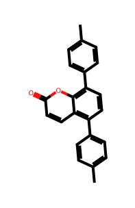 Cc1ccc(-c2ccc(-c3ccc(C)cc3)c3oc(=O)ccc23)cc1